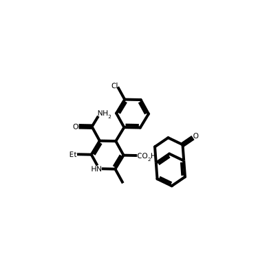 CCC1=C(C(N)=O)C(c2cccc(Cl)c2)C(C(=O)O)=C(C)N1.O=C1CCc2cccc1c2